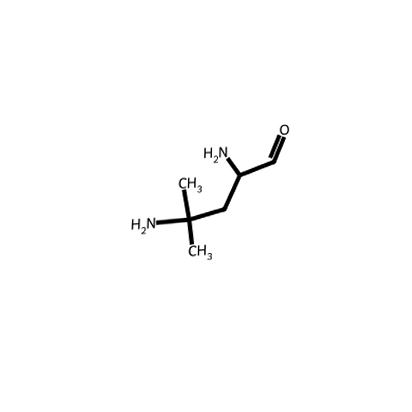 CC(C)(N)CC(N)C=O